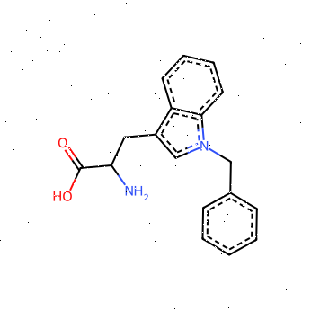 NC(Cc1cn(Cc2ccccc2)c2ccccc12)C(=O)O